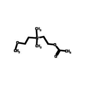 COCC[N+](C)(C)CCOC(C)=O